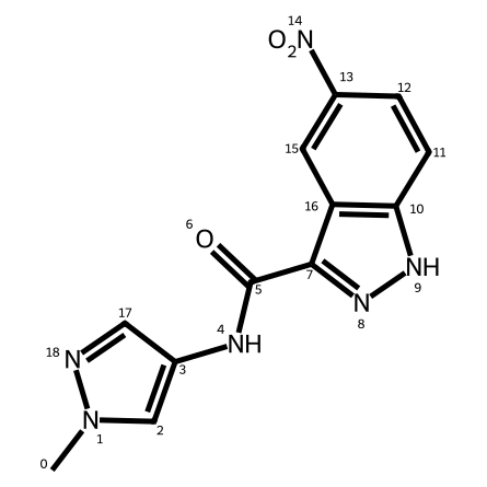 Cn1cc(NC(=O)c2n[nH]c3ccc([N+](=O)[O-])cc23)cn1